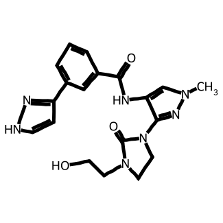 Cn1cc(NC(=O)c2cccc(-c3cc[nH]n3)c2)c(N2CCN(CCO)C2=O)n1